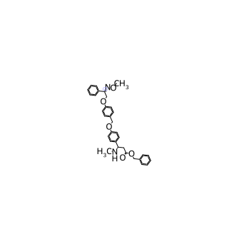 CNC(CC(=O)OCc1ccccc1)c1ccc(OCc2ccc(OC/C(=N\OC)c3ccccc3)cc2)cc1